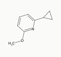 COc1cccc(C2CC2)n1